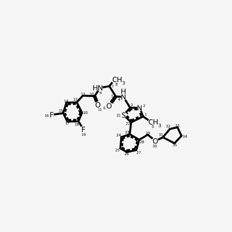 Cc1nc(NC(=O)C(C)NC(=O)Cc2cc(F)cc(F)c2)sc1-c1ccccc1COC1CCCC1